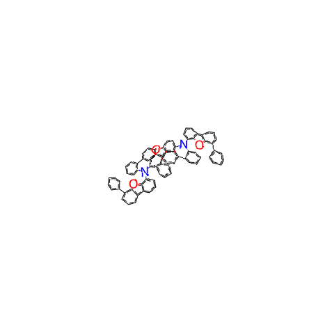 c1ccc(-c2ccccc2N(c2ccc3oc4cc(N(c5ccccc5-c5ccccc5)c5cccc6c5oc5c(-c7ccccc7)cccc56)c5ccccc5c4c3c2)c2cccc3c2oc2c(-c4ccccc4)cccc23)cc1